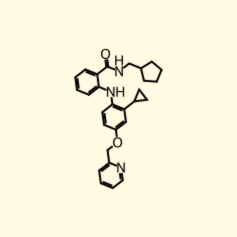 O=C(NCC1CCCC1)c1ccccc1Nc1ccc(OCc2ccccn2)cc1C1CC1